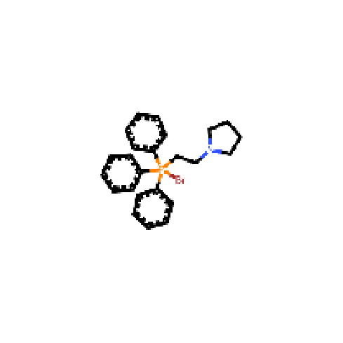 BrP(CCN1CCCC1)(c1ccccc1)(c1ccccc1)c1ccccc1